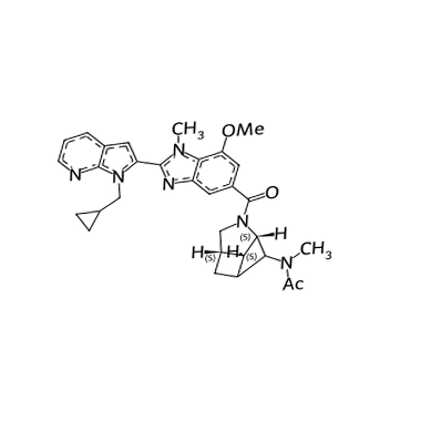 COc1cc(C(=O)N2C[C@H]3CC4C(N(C)C(C)=O)[C@@H]2[C@H]43)cc2nc(-c3cc4cccnc4n3CC3CC3)n(C)c12